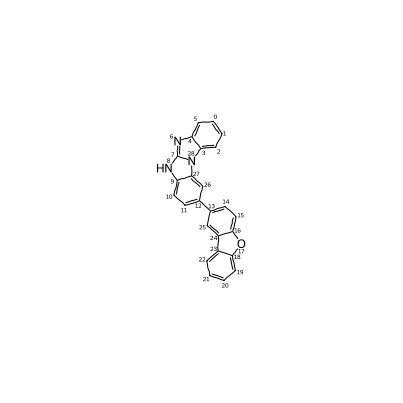 c1ccc2c(c1)nc1[nH]c3ccc(-c4ccc5oc6ccccc6c5c4)cc3n12